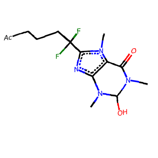 CC(=O)CCCC(F)(F)c1nc2c(n1C)C(=O)N(C)C(O)N2C